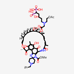 COC(=O)N1C2=C3NC(=O)/C(C)=C\C=C\[C@H](C)[C@H](OC(=O)CN(CCCCC(P(=O)(O)O)P(=O)(O)O)CCOC(C)=O)[C@@H](C)[C@@H](O)[C@@H](C)[C@H](C)[C@H](C)[C@@H](C)/C=C/O[C@@]4(C)Oc5c(C)c(O)c(c(c5C4=O)C2=NC12CCN(CC(C)C)CC2)C3=O